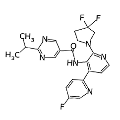 CC(C)c1ncc(C(=O)Nc2c(-c3ccc(F)cn3)ccnc2N2CCC(F)(F)C2)cn1